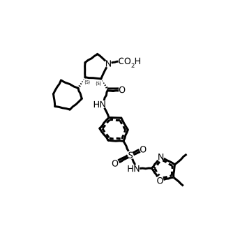 Cc1nc(NS(=O)(=O)c2ccc(NC(=O)[C@@H]3[C@H](C4CCCCC4)CCN3C(=O)O)cc2)oc1C